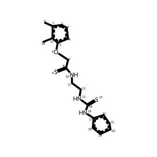 Cc1cccc(OCC(=S)NCCNC(=S)Nc2ccccc2)c1C